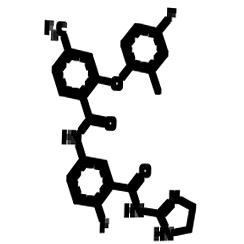 Cc1cc(F)ccc1Oc1cc(C(F)(F)F)ccc1C(=O)Nc1ccc(F)c(C(=O)NC2=NCCN2)c1